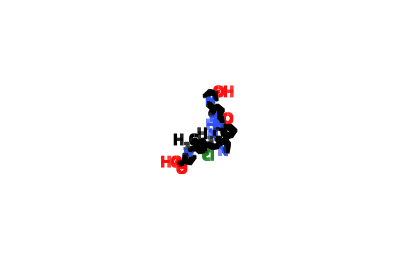 Cc1cc(/C=C/c2nccc(-c3cccc(NC(=O)c4ccc(CN5CC[C@@H](O)C5)cn4)c3C)c2C#N)c(Cl)cc1CN1CC[C@@H](C(=O)O)C1